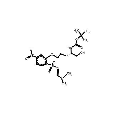 CN(C)C=NS(=O)(=O)c1ccc([N+](=O)[O-])cc1OCCC[C@@H](CO)NC(=O)OC(C)(C)C